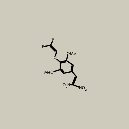 COc1cc(C=C([N+](=O)[O-])[N+](=O)[O-])cc(OC)c1OC=C(F)F